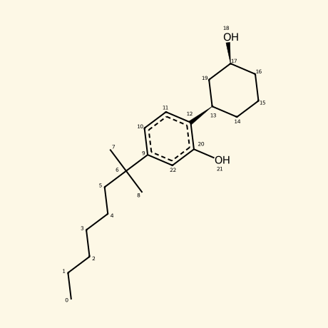 CCCCCCC(C)(C)c1ccc([C@@H]2CCC[C@H](O)C2)c(O)c1